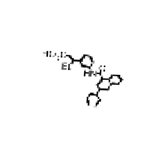 CC/C(=C\C(=O)O)c1cccc(NC(=O)c2cc(-c3ccccc3)cc3ccccc23)c1